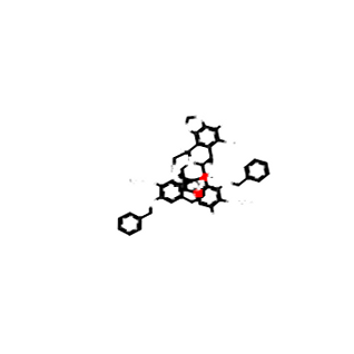 COc1cc2c(cc1OCc1ccccc1)CCN[C@]21CS[C@@H]2c3c(O)c(C)c4c(c3[C@H](COC1=O)N1C2[C@@H]2c3c(cc(C)c(OC)c3OCc3ccccc3)C[C@@H]([C@@H]1O)N2C)OCO4